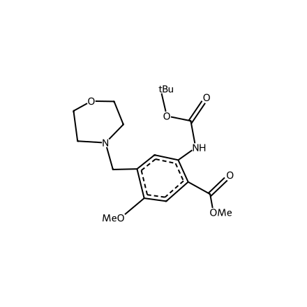 COC(=O)c1cc(OC)c(CN2CCOCC2)cc1NC(=O)OC(C)(C)C